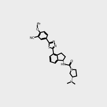 CC(C)Oc1ccc(-c2nnc(-c3cccc4c3CC[C@@H]4NC(=O)N3CC[C@H](N(C)C)C3)s2)cc1C#N